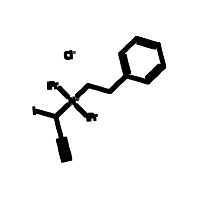 C#CC(I)[N+](CCc1ccccc1)(C(C)C)C(C)C.[Cl-]